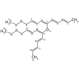 CC=CC=CC(=CC=CCCCC)OC(C=CC=CC)=CC=CCCCC